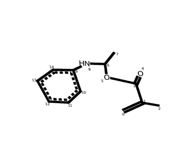 C=C(C)C(=O)OC(C)Nc1ccccc1